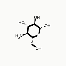 N[C@H]1[C@H](O)[C@@H](O)[C@H](O)O[C@@H]1CO